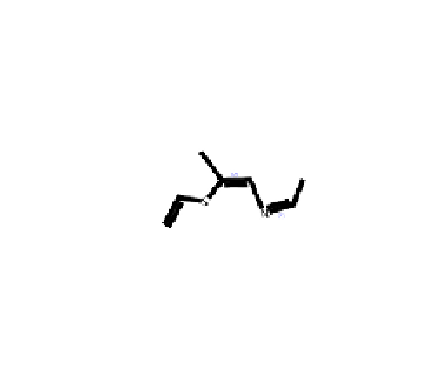 C=CS/C(C)=C\N=C/C